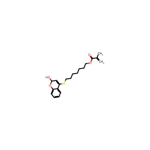 C=C(C)C(=O)OCCCCCCCSC1=CC(O)Oc2ccccc21